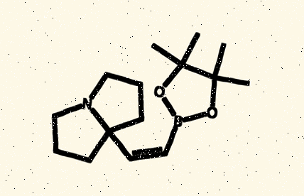 CC1(C)OB(/C=C\C23CCCN2CCC3)OC1(C)C